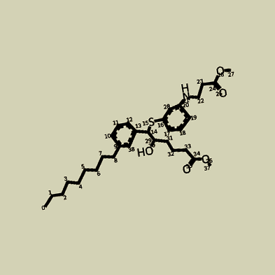 CCCCCCCCCc1cccc(C(Sc2cccc(NCCC(=O)OC)c2)C(O)CCCC(=O)OC)c1